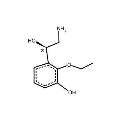 CCOc1c(O)cccc1[C@@H](O)CN